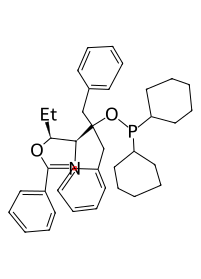 CC[C@@H]1OC(c2ccccc2)=N[C@@H]1C(Cc1ccccc1)(Cc1ccccc1)OP(C1CCCCC1)C1CCCCC1